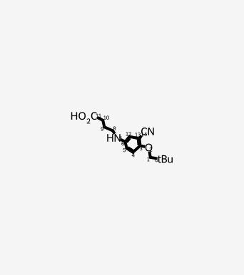 CC(C)(C)COc1ccc(NCCCC(=O)O)cc1C#N